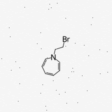 BrCCN1C=CC=CC=C1